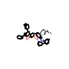 CC1C=C(N2C3=C(C=CCC3)C3C=CCCC32)C2=C(C1)C1C=c3c4c(oc3=CC1O2)C(C1=CCCC=C1)=CC(C1C=CC=CC1)C4